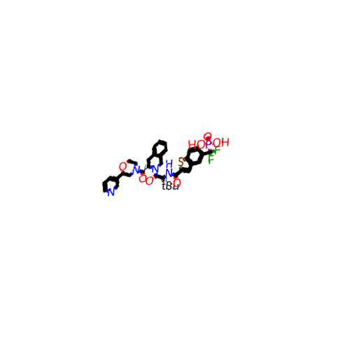 CC(C)(C)[C@H](NC(=O)c1cc2cc(C(F)(F)P(=O)(O)O)ccc2s1)C(=O)N1Cc2ccccc2C[C@H]1C(=O)N1CCOC(c2cccnc2)C1